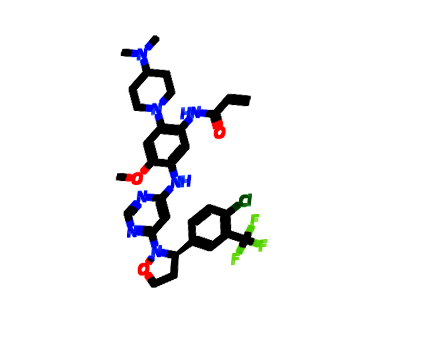 C=CC(=O)Nc1cc(Nc2cc(N3OCC[C@@H]3c3ccc(Cl)c(C(F)(F)F)c3)ncn2)c(OC)cc1N1CCC(N(C)C)CC1